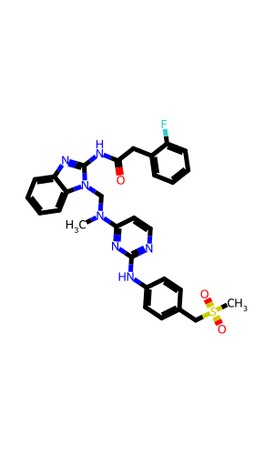 CN(Cn1c(NC(=O)Cc2ccccc2F)nc2ccccc21)c1ccnc(Nc2ccc(CS(C)(=O)=O)cc2)n1